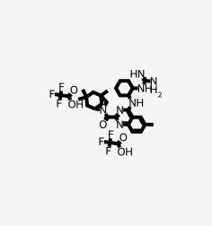 Cc1ccc2nc(C(=O)N3CC4(C)CC3CC(C)(C)C4)nc(NC3CCCCC3NC(=N)N)c2c1.O=C(O)C(F)(F)F.O=C(O)C(F)(F)F